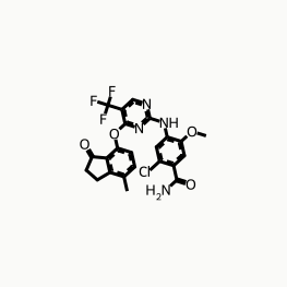 COc1cc(C(N)=O)c(Cl)cc1Nc1ncc(C(F)(F)F)c(Oc2ccc(C)c3c2C(=O)CC3)n1